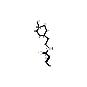 C/C=C/C(=O)NCCC1CCN(C)CC1